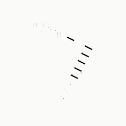 CO.CO.CO.CO.CO.CO.N.N.N.N.N.N